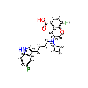 O=C(O)c1ccc(F)c2c1C[C@@H](N(CCCCc1c[nH]c3ccc(F)cc13)C1CCC1)CO2